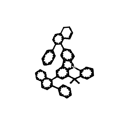 CC1(C)c2ccccc2-n2c3ccc(-c4c(-c5ccccc5)ccc5c4C=CCC5)cc3c3cc(-c4c(-c5ccccc5)ccc5ccccc45)cc1c32